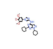 COc1cc(-n2cnc(Nc3nc(C4CCCCC4)nc4c3cnn4C3CCCCC3)c2)cc(OC)c1OC